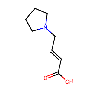 O=C(O)C=CCN1CCCC1